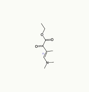 CCOC(=O)C(=O)/C(C)=C/N(C)C